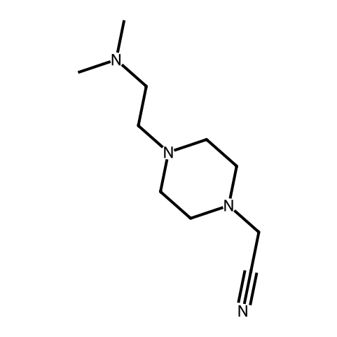 CN(C)CCN1CCN(CC#N)CC1